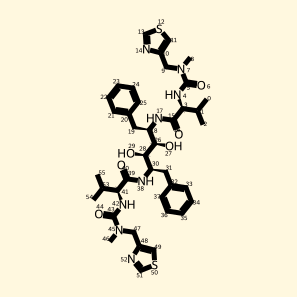 CC(C)[C@H](NC(=O)N(C)Cc1cscn1)C(=O)N[C@H](Cc1ccccc1)[C@@H](O)[C@H](O)[C@@H](Cc1ccccc1)NC(=O)[C@@H](NC(=O)N(C)Cc1cscn1)C(C)C